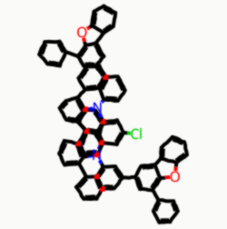 Clc1cc(N(c2cccc(-c3cc(-c4ccccc4)c4oc5ccccc5c4c3)c2)c2c(-c3ccccc3)cccc2-c2ccccc2)cc(N(c2cccc(-c3cc(-c4ccccc4)c4oc5ccccc5c4c3)c2)c2c(-c3ccccc3)cccc2-c2ccccc2)c1